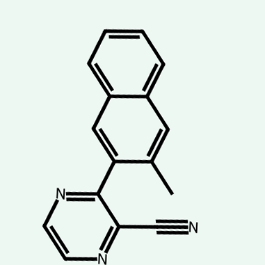 Cc1cc2ccccc2cc1-c1nccnc1C#N